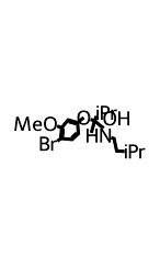 COc1cc(OC(C)(C(C)C)C(O)NCCC(C)C)ccc1Br